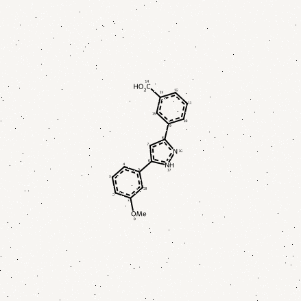 COc1cccc(-c2cc(-c3cccc(C(=O)O)c3)n[nH]2)c1